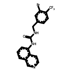 O=C(NCc1ccc(C(F)(F)F)c(Br)c1)Nc1cccc2cnccc12